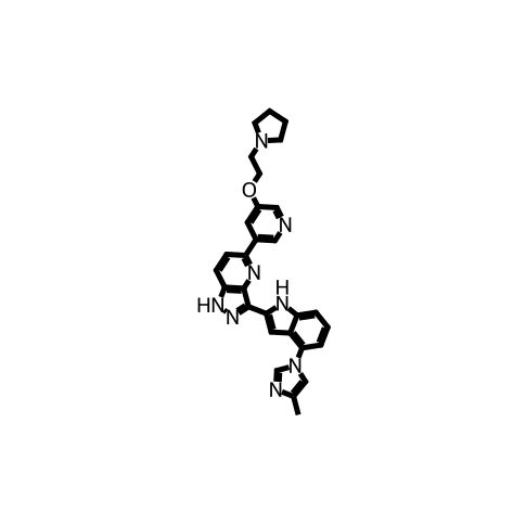 Cc1cn(-c2cccc3[nH]c(-c4n[nH]c5ccc(-c6cncc(OCCN7CCCC7)c6)nc45)cc23)cn1